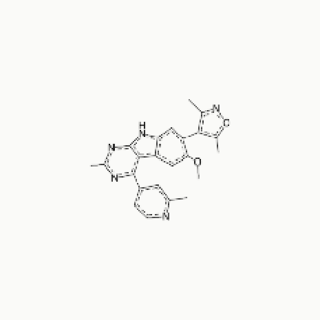 COc1cc2c(cc1-c1c(C)noc1C)[nH]c1nc(C)nc(-c3ccnc(C)c3)c12